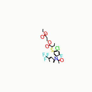 C=C(/C=C(\C)C(F)(F)F)N(C(C)=O)c1cc(SC(CC)C(=O)OCCC(=O)OCC)c(Cl)cc1F